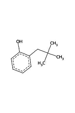 CC(C)(C)Cc1ccccc1O